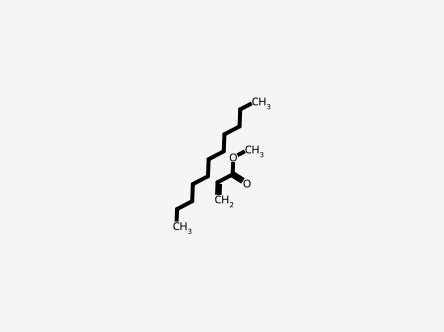 C=CC(=O)OC.CCCCCCCCCCC